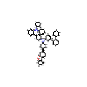 c1ccc(-c2ccccc2-c2cccc(N(c3ccc(-c4ccc5c(c4)oc4ccccc45)cc3)c3ccc(-c4ccccc4-n4c5ccccc5c5ccccc54)cc3)c2)cc1